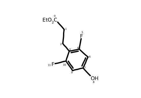 CCOC(=O)CCc1c(F)cc(O)cc1F